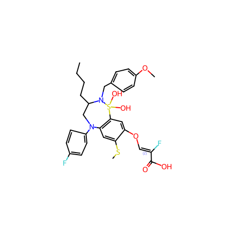 CCCCC1CN(c2ccc(F)cc2)c2cc(SC)c(O/C=C(\F)C(=O)O)cc2S(O)(O)N1Cc1ccc(OC)cc1